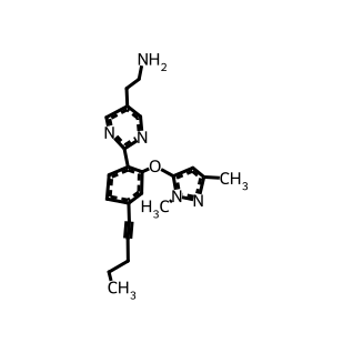 CCCC#Cc1ccc(-c2ncc(CCN)cn2)c(Oc2cc(C)nn2C)c1